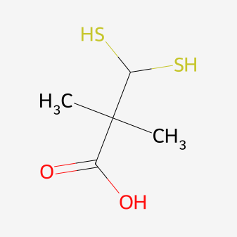 CC(C)(C(=O)O)C(S)S